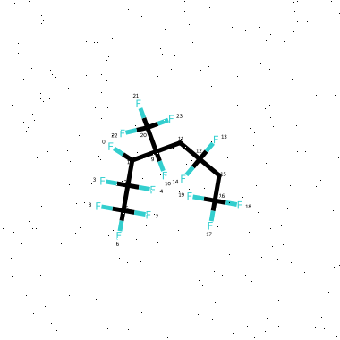 FC(C(F)(F)C(F)(F)F)C(F)(CC(F)(F)CC(F)(F)F)C(F)(F)F